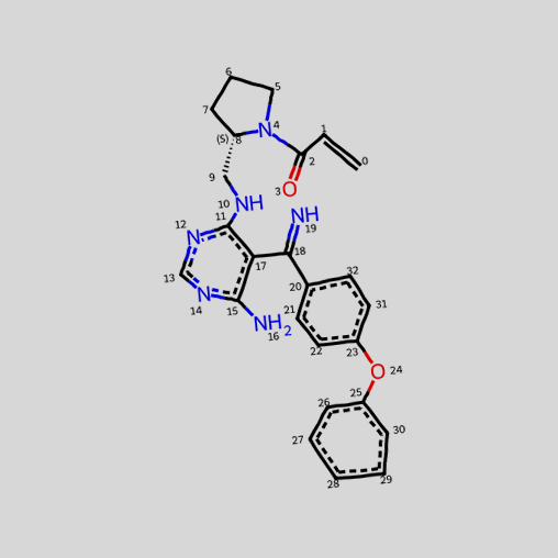 C=CC(=O)N1CCC[C@H]1CNc1ncnc(N)c1C(=N)c1ccc(Oc2ccccc2)cc1